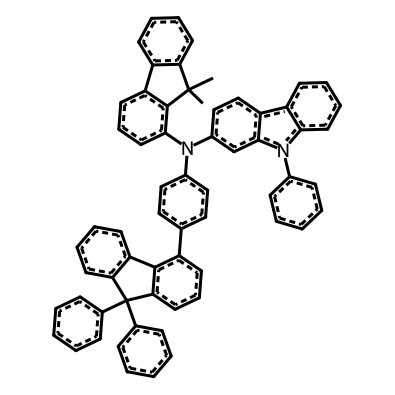 CC1(C)c2ccccc2-c2cccc(N(c3ccc(-c4cccc5c4-c4ccccc4C5(c4ccccc4)c4ccccc4)cc3)c3ccc4c5ccccc5n(-c5ccccc5)c4c3)c21